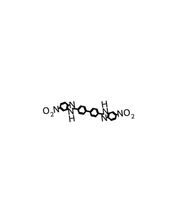 O=[N+]([O-])c1ccc2nc(-c3ccc(-c4ccc(-c5nc6ccc([N+](=O)[O-])cc6[nH]5)cc4)cc3)[nH]c2c1